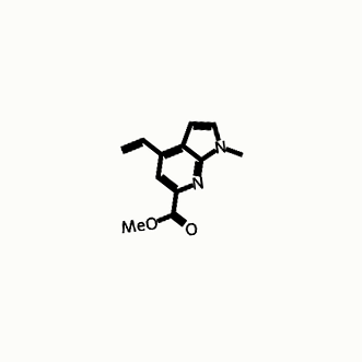 C=Cc1cc(C(=O)OC)nc2c1ccn2C